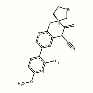 COc1ccc(-c2cnc3c(c2)N(C#N)C(=O)[C@]2(CCNC2)O3)c(C)n1